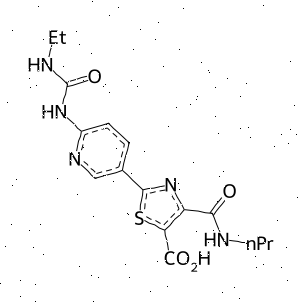 CCCNC(=O)c1nc(-c2ccc(NC(=O)NCC)nc2)sc1C(=O)O